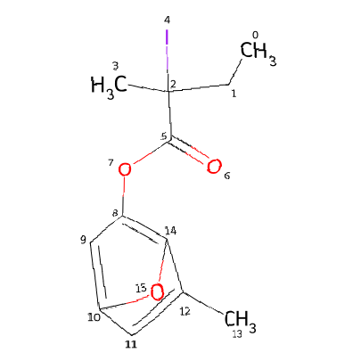 CCC(C)(I)C(=O)Oc1cc2cc(C)c1o2